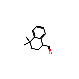 CC1(C)CCC(C=O)c2ccccc21